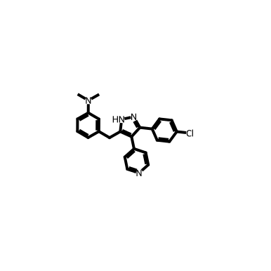 CN(C)c1cccc(Cc2[nH]nc(-c3ccc(Cl)cc3)c2-c2ccncc2)c1